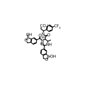 CC(NC(=O)c1ccc2c(c1)B(O)OC2)C(NC(=O)c1ccc2c(c1)B(O)OC2)C(=O)NC(CC(=O)O)c1ccc(C(F)(F)F)cc1